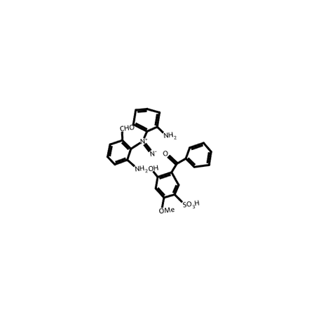 COc1cc(O)c(C(=O)c2ccccc2)cc1S(=O)(=O)O.[N-]=[N+](c1ccccc1N)c1c(N)cccc1C=O